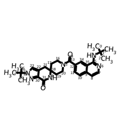 CC(C)(C)Nc1nccc2ccc(C(=O)N3CCC4(CC3)Cc3cn(C(C)(C)C)nc3C(=O)N4)cc12